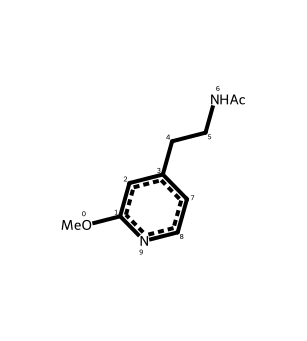 COc1cc(CCNC(C)=O)ccn1